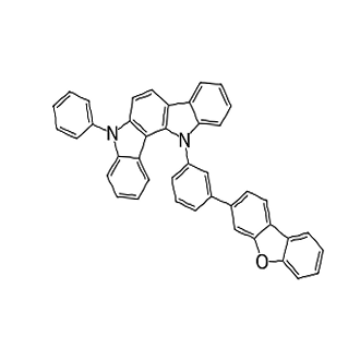 c1ccc(-n2c3ccccc3c3c2ccc2c4ccccc4n(-c4cccc(-c5ccc6c(c5)oc5ccccc56)c4)c23)cc1